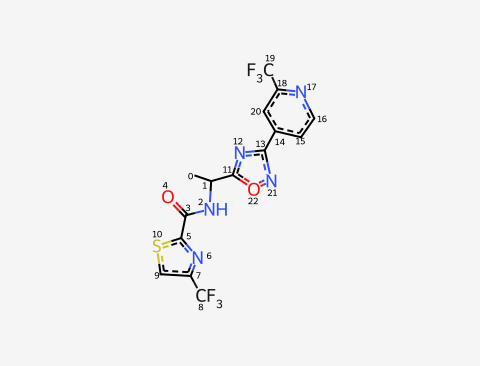 CC(NC(=O)c1nc(C(F)(F)F)cs1)c1nc(-c2ccnc(C(F)(F)F)c2)no1